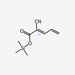 C=C/C=C(\C#N)C(=O)O[Si](C)(C)C